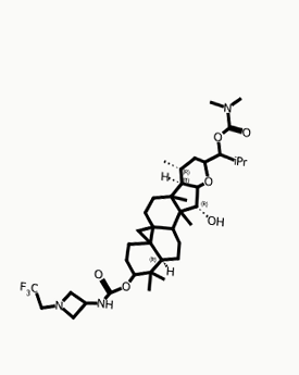 CC(C)C(OC(=O)N(C)C)C1C[C@@H](C)[C@H]2C(O1)[C@H](O)C1(C)C3CC[C@H]4C(C)(C)C(OC(=O)NC5CN(CC(F)(F)F)C5)CCC45CC35CCC21C